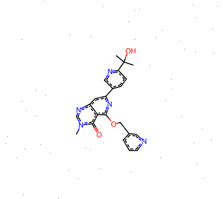 Cn1cnc2cc(-c3ccc(C(C)(C)O)nc3)nc(OCc3cccnc3)c2c1=O